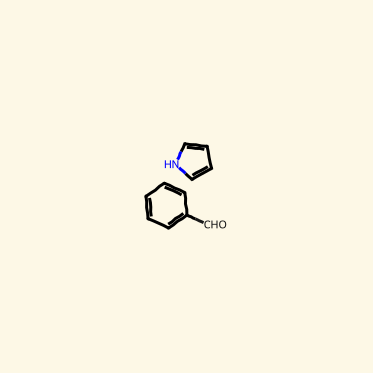 O=Cc1ccccc1.c1cc[nH]c1